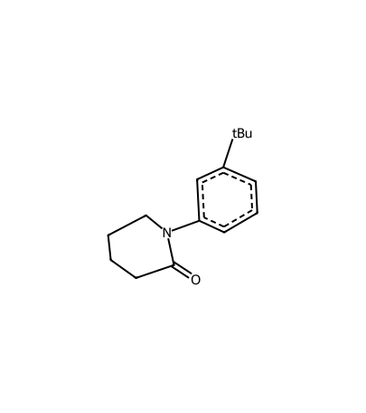 CC(C)(C)c1cccc(N2CCCCC2=O)c1